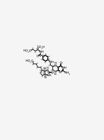 Nc1nc2c(c(=O)[nH]1)NC(CNc1ccc(C(=O)NC(CCC(=O)O)C(=O)O)cc1)CN2.O=C(O)CCCC[C@@H]1SC[C@@H]2NC(=O)N[C@@H]21